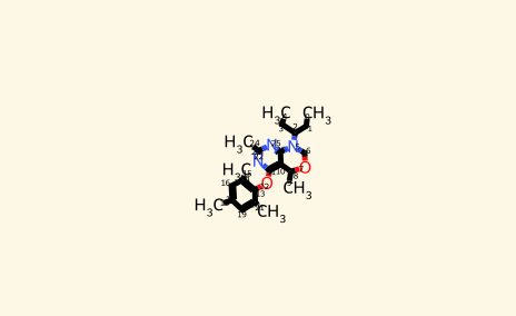 CCC(CC)N1COC(C)c2c(Oc3c(C)cc(C)cc3C)nc(C)nc21